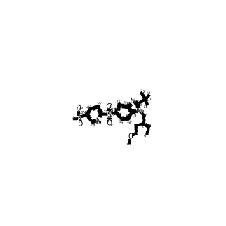 CCC(CCOC)Cn1c(C(C)(C)C)nc2cc(S(=O)(=O)c3ccc(S(C)(=O)=O)cn3)ccc21